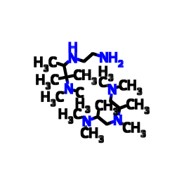 CC(CN(C)C(C)CN(C)C)N(C)C.CC(NCCN)C(C)(C)N(C)C